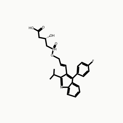 CC(C)c1nc2ccccc2c(-c2ccc(F)cc2)c1/C=C/CO[PH](=O)C[C@@H](O)CC(=O)O